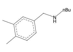 CCCCNCc1ccc(C)c(C)c1